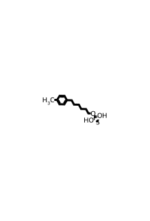 Cc1ccc(CCCCCCOP(O)(O)=S)cc1